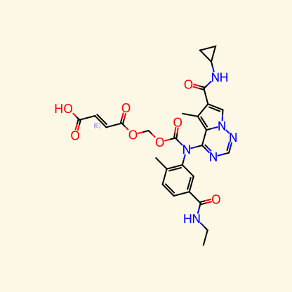 CCNC(=O)c1ccc(C)c(N(C(=O)OCOC(=O)/C=C/C(=O)O)c2ncnn3cc(C(=O)NC4CC4)c(C)c23)c1